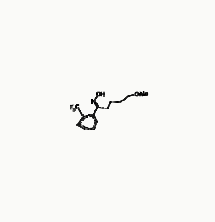 COCCCCC(=NO)c1ccccc1C(F)(F)F